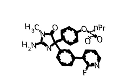 CCCS(=O)(=O)Oc1ccc(C2(c3cccc(-c4cccnc4F)c3)N=C(N)N(C)C2=O)cc1